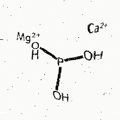 OP(O)O.[Ca+2].[Mg+2]